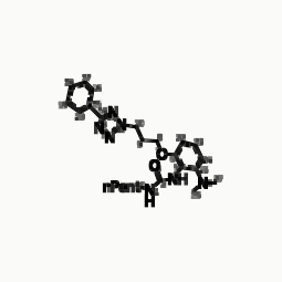 CCCCCNC(=O)Nc1c(OCCCn2nnc(-c3ccccc3)n2)cccc1N(C)C